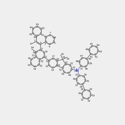 C/C(=C(/c1ccccc1)c1cc(-c2ccc3c(c2)C(C)(C)c2cc(N(c4ccc(-c5ccccc5)cc4)c4ccc(-c5ccccc5)cc4)ccc2-3)c2ccccc2c1C)c1ccccc1